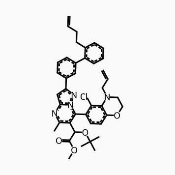 C=CCCc1ccccc1-c1cccc(-c2cc3nc(C)c(C(OC(C)(C)C)C(=O)OC)c(-c4ccc5c(c4Cl)N(CC=C)CCO5)n3n2)c1